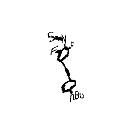 CCCCc1ccc(C#Cc2cc(F)c(N=C=S)c(F)c2)cc1